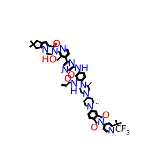 C=CC(=O)Nc1cc(Nc2nc(-c3ccnc(N4CCn5c(cc6c5CC(C)(C)C6)C4=O)c3CO)cn(C)c2=O)ccc1N1CCN(C2CCN(c3ccc4c(c3)C(=O)N(c3ccnc(C(C)(C)C(F)(F)F)c3)C4=O)[C@@H](C)C2)C[C@@H]1C